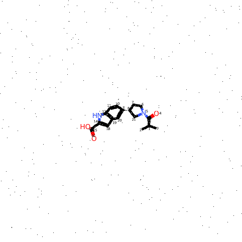 CC(C)C(=O)N1CC[C@@H](c2ccc3[nH]c(C(=O)O)cc3c2)C1